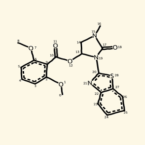 COc1cccc(OC)c1C(=O)OC1CN(C)C(=O)N1c1nc2ccccc2s1